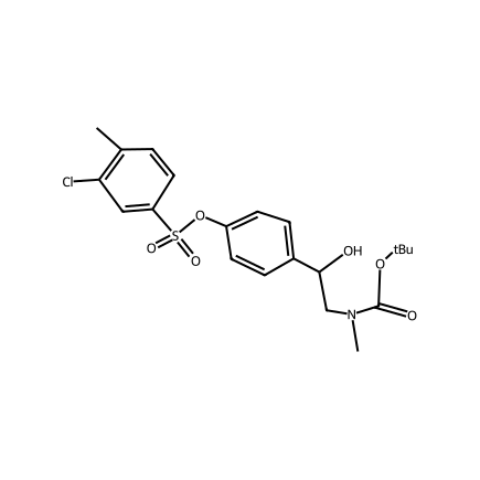 Cc1ccc(S(=O)(=O)Oc2ccc(C(O)CN(C)C(=O)OC(C)(C)C)cc2)cc1Cl